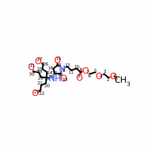 COCCOCCOC(=O)CCCN1C(=O)CC(NC(CCC=O)(CCC=O)CCC=O)C1=O